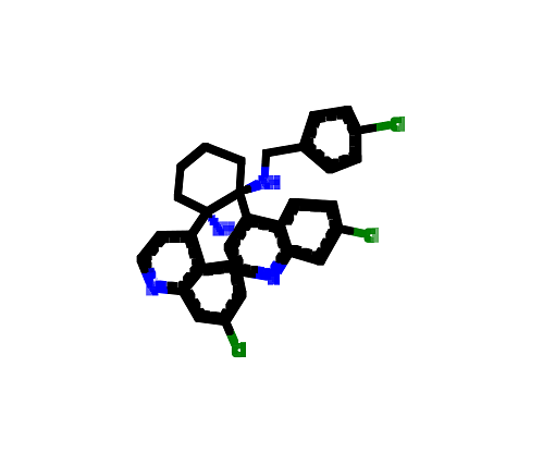 N[C@]1(c2ccnc3cc(Cl)ccc23)CCCC[C@]1(NCc1ccc(Cl)cc1)c1ccnc2cc(Cl)ccc12